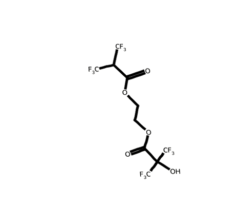 O=C(OCCOC(=O)C(O)(C(F)(F)F)C(F)(F)F)C(C(F)(F)F)C(F)(F)F